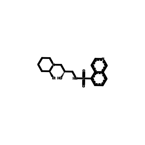 CC[C@H]1CCCCN1C[C@@H](O)CNS(=O)(=O)c1cccc2cnccc12